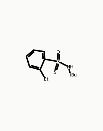 CCc1ccccc1S(=O)(=S)NC(C)(C)C